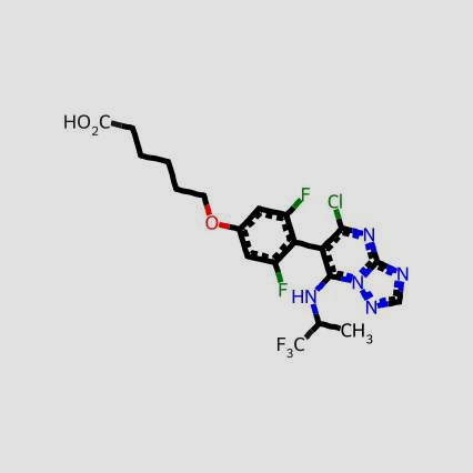 CC(Nc1c(-c2c(F)cc(OCCCCCC(=O)O)cc2F)c(Cl)nc2ncnn12)C(F)(F)F